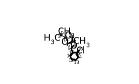 CC(C)[C@H]1OC[C@@](C)(OCc2ccccc2Cl)CO1